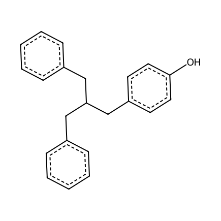 Oc1ccc(CC(Cc2ccccc2)Cc2ccccc2)cc1